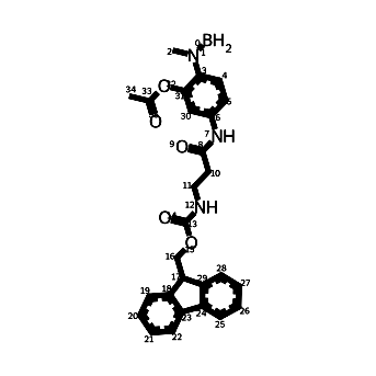 BN(C)c1ccc(NC(=O)CCNC(=O)OCC2c3ccccc3-c3ccccc32)cc1OC(C)=O